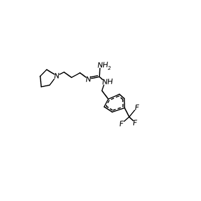 NC(=NCCCN1CCCC1)NCc1ccc(C(F)(F)F)cc1